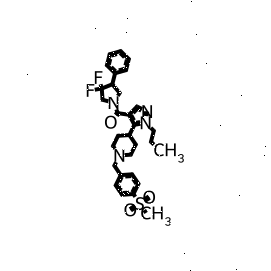 CCCn1ncc(C(=O)N2CC(c3ccccc3)C(F)(F)C2)c1C1CCN(Cc2ccc(S(C)(=O)=O)cc2)CC1